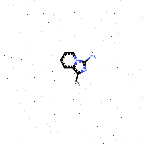 Cc1nc(N)n2ccccc12